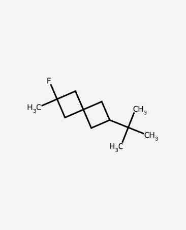 CC1(F)CC2(CC(C(C)(C)C)C2)C1